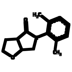 Cc1cccc(C)c1N1CC2OCCC2C1=O